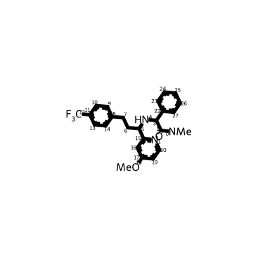 CNC(=O)C(NC(CCc1ccc(C(F)(F)F)cc1)c1cc(OC)ccn1)c1ccccc1